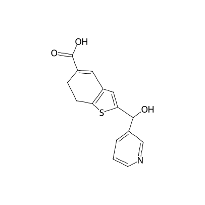 O=C(O)C1=Cc2cc(C(O)c3cccnc3)sc2CC1